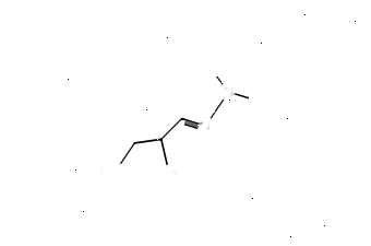 CCC(O)C=NN(C)C